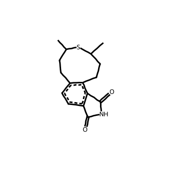 CC1CCc2ccc3c(c2CCC(C)S1)C(=O)NC3=O